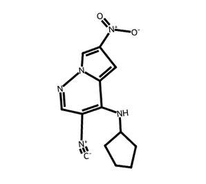 [C-]#[N+]c1cnn2cc([N+](=O)[O-])cc2c1NC1CCCC1